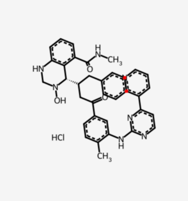 CNC(=O)c1cccc2c1[C@H](C(CC(=O)c1ccc(C)c(Nc3nccc(-c4cccnc4)n3)c1)Cc1ccccc1)N(O)CN2.Cl